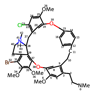 CNCCc1cc(OC)c2cc1CCc1ccc(cc1)Oc1cc(c(Cl)cc1OC)C[C@H]1c3c(c(Br)c(OC)c(OC)c3O2)CCN1C